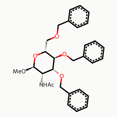 CO[C@H]1O[C@H](COCc2ccccc2)[C@@H](OCc2ccccc2)[C@H](OCc2ccccc2)[C@@H]1NC(C)=O